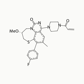 C=CC(=O)N1CCN(c2nc(=O)n3c4c(c(-c5ccc(F)cc5)c(C)cc24)SC[C@H](OC)C3)CC1